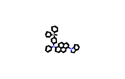 C[Si](c1ccccc1)(c1ccccc1)c1ccc(N(c2ccccc2)c2ccc3ccc4c(N5CCc6ccccc65)ccc5ccc2c3c54)cc1